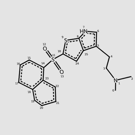 CN(C)CCc1c[nH]c2sc(S(=O)(=O)c3cccc4ccccc34)cc12